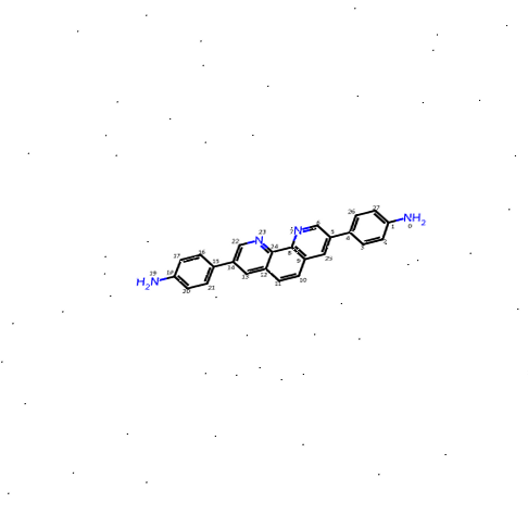 Nc1ccc(-c2cnc3c(ccc4cc(-c5ccc(N)cc5)cnc43)c2)cc1